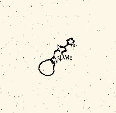 COC1=CC(c2ccc[nH]2)=N/C1=C/c1[nH]c2cc1CCCCCCCCC2